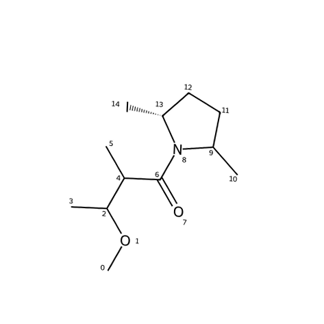 COC(C)C(C)C(=O)N1C(C)CC[C@H]1I